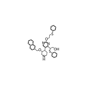 OCC(Sc1ccccc1)c1nc(OCCSc2ccccc2)ncc1C1CCNCC1OCc1ccc2ccccc2c1